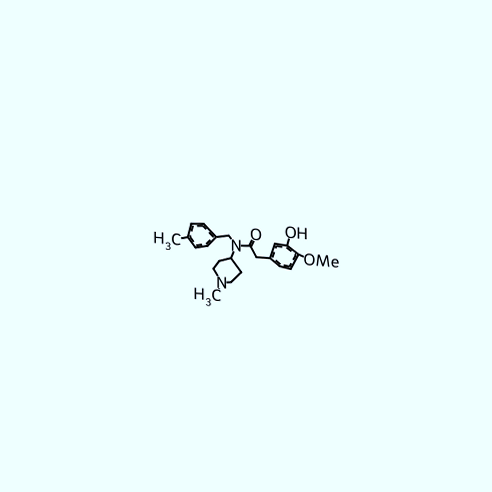 COc1ccc(CC(=O)N(Cc2ccc(C)cc2)C2CCN(C)CC2)cc1O